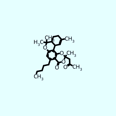 CCCCCc1cc2c(c3c1C(=O)OC(C)(CC(C)=O)O3)C1C=C(C)CCC1C(C)(C)O2